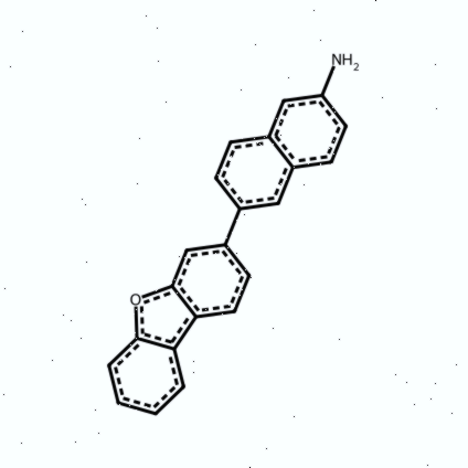 Nc1ccc2cc(-c3ccc4c(c3)oc3ccccc34)ccc2c1